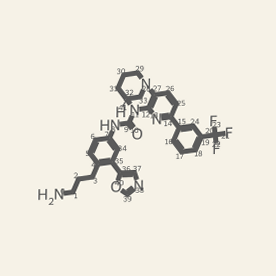 NCCCc1ccc(NC(=O)N2c3nc(-c4cccc(C(F)(F)F)c4)ccc3N3CCC[C@H]2C3)cc1-c1cnco1